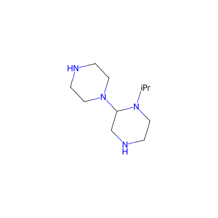 CC(C)N1CCNCC1N1CCNCC1